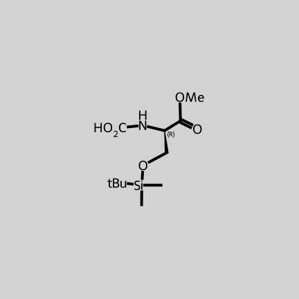 COC(=O)[C@@H](CO[Si](C)(C)C(C)(C)C)NC(=O)O